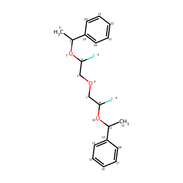 CC(OC(F)COCC(F)OC(C)c1ccccc1)c1ccccc1